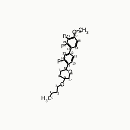 CCCCOC1CCC(c2ccc(-c3ccc(OC)c(F)c3F)cc2F)OC1